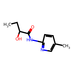 CCC(O)C(=O)Nc1ccc(C)cn1